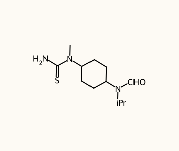 CC(C)N(C=O)C1CCC(N(C)C(N)=S)CC1